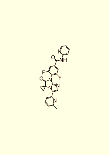 Cc1cccc(-c2cnc3n2C2(CC2)C(=O)N3c2c(F)cc(C(=O)Nc3ccccn3)cc2F)n1